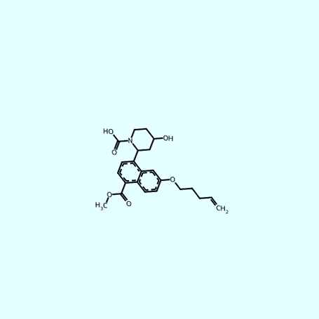 C=CCCCOc1ccc2c(C(=O)OC)ccc(C3CC(O)CCN3C(=O)O)c2c1